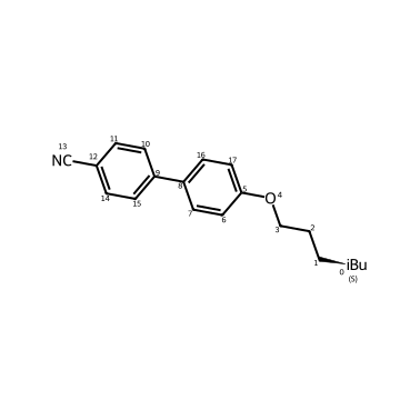 CC[C@H](C)CCCOc1ccc(-c2ccc(C#N)cc2)cc1